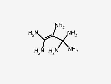 NC(N)=C(N)C(N)(N)N